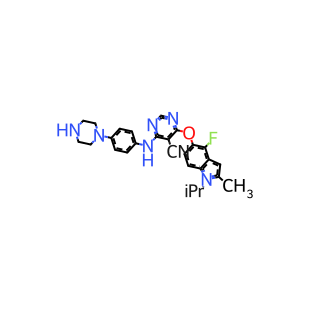 Cc1cc2c(F)c(Oc3ncnc(Nc4ccc(N5CCNCC5)cc4)c3C#N)ccc2n1C(C)C